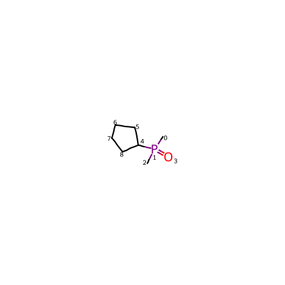 CP(C)(=O)C1CCCC1